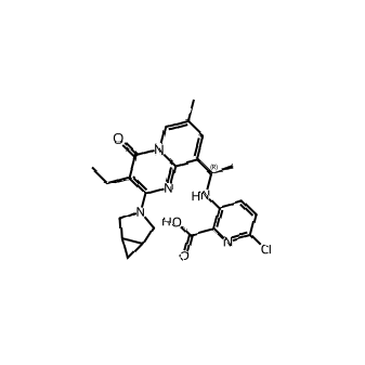 CCc1c(N2CC3CC3C2)nc2c([C@@H](C)Nc3ccc(Cl)nc3C(=O)O)cc(C)cn2c1=O